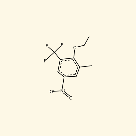 CCOc1c(C)cc([N+](=O)[O-])cc1C(F)(F)F